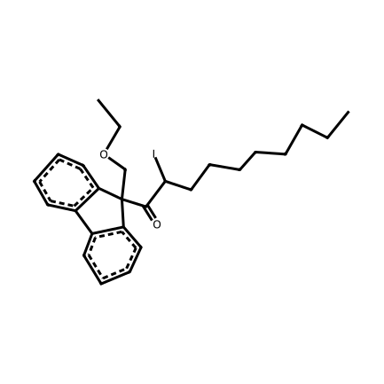 CCCCCCCCC(I)C(=O)C1(COCC)c2ccccc2-c2ccccc21